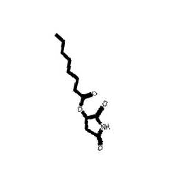 CCCCCCCC(=O)OC1CC(=O)NC1=O